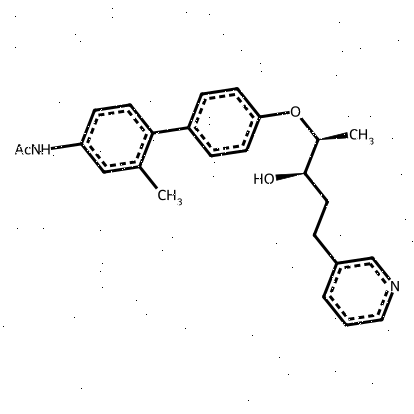 CC(=O)Nc1ccc(-c2ccc(O[C@@H](C)[C@H](O)CCc3cccnc3)cc2)c(C)c1